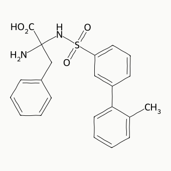 Cc1ccccc1-c1cccc(S(=O)(=O)NC(N)(Cc2ccccc2)C(=O)O)c1